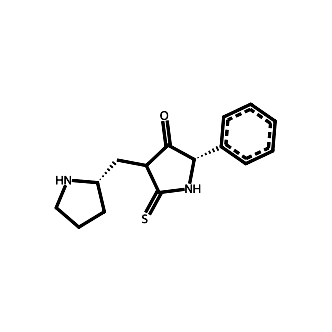 O=C1C(C[C@@H]2CCCN2)C(=S)N[C@H]1c1ccccc1